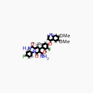 COc1cc2nccc(Oc3ccc(-c4c(C(C)C)c(C(N)=O)n(-c5ccc(F)cc5)c(=O)c4C(N)=O)cc3F)c2cc1OC